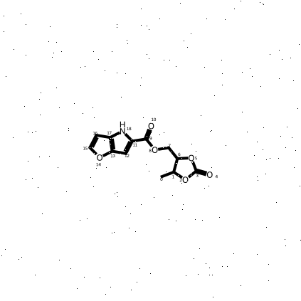 CC1OC(=O)OC1COC(=O)c1cc2occc2[nH]1